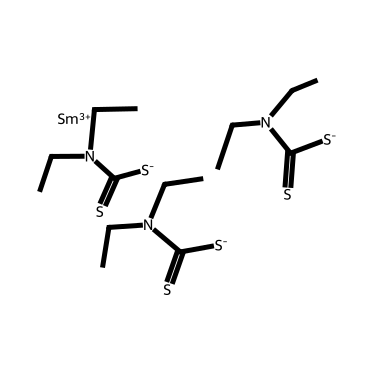 CCN(CC)C(=S)[S-].CCN(CC)C(=S)[S-].CCN(CC)C(=S)[S-].[Sm+3]